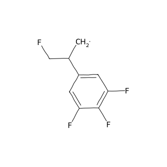 [CH2]C(CF)c1cc(F)c(F)c(F)c1